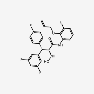 C=CCOc1c(F)cccc1NC(=O)[C@@H](NO)[C@@H](c1ccc(F)cc1)c1cc(F)cc(F)c1